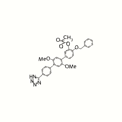 COc1cc(-c2ccc(OCc3ccccc3)c(OS(C)(=O)=O)c2)c(OC)cc1-c1ccc(-c2nnn[nH]2)cc1